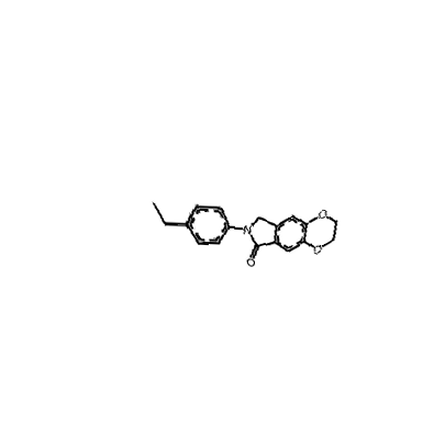 CCc1ccc(N2Cc3cc4c(cc3C2=O)OCCO4)cc1